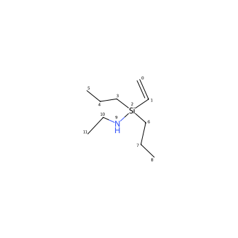 C=C[Si](CCC)(CCC)NCC